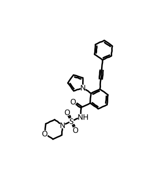 O=C(NS(=O)(=O)N1CCOCC1)c1cccc(C#Cc2ccccc2)c1-n1cccc1